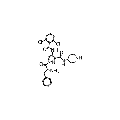 NC(Cc1ccccc1)C(=O)n1cc(NC(=O)c2c(Cl)cccc2Cl)c(C(=O)NC2CCNCC2)n1